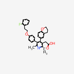 Cc1nc(C)c(-c2ccc(OCCc3ccccc3F)cc2)c(-c2ccc3c(c2)CCCO3)c1CC(=O)O